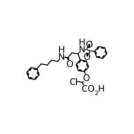 O=C(CC(NS(=O)(=O)c1ccccc1)c1ccc(OC(Cl)C(=O)O)cc1)NCCCCc1ccccc1